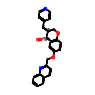 O[C@H]1c2cc(OCc3ccc4ccccc4n3)ccc2OC[C@@H]1Cc1ccncc1